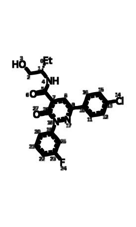 CC[C@@H](CO)NC(=O)c1cc(-c2ccc(Cl)cc2)nn(-c2cccc(F)c2)c1=O